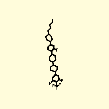 CCCCCC1CCC(c2ccc(C3CCC(C4CCC(c5cc(F)c(C(F)(F)F)c(F)c5)CC4)CC3)c(F)c2)CC1